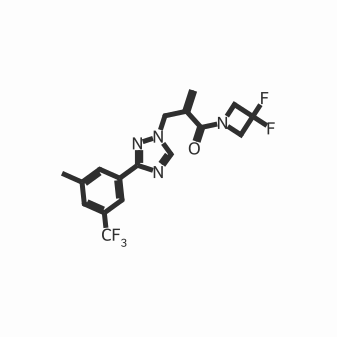 C=C(Cn1cnc(-c2cc(C)cc(C(F)(F)F)c2)n1)C(=O)N1CC(F)(F)C1